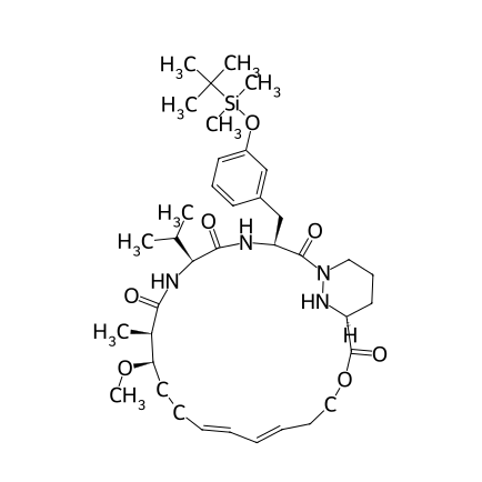 CO[C@@H]1CC/C=C/C=C/CCOC(=O)[C@@H]2CCCN(N2)C(=O)[C@H](Cc2cccc(O[Si](C)(C)C(C)(C)C)c2)NC(=O)[C@H](C(C)C)NC(=O)[C@@H]1C